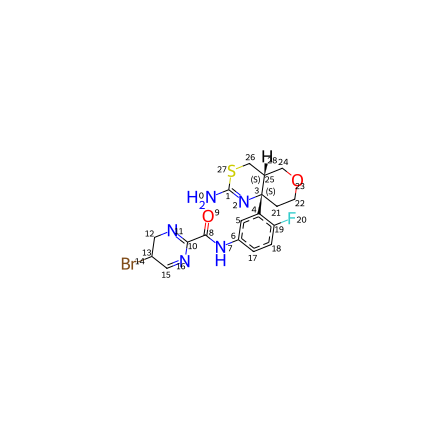 NC1=N[C@@]2(c3cc(NC(=O)C4=NCC(Br)C=N4)ccc3F)CCOC[C@H]2CS1